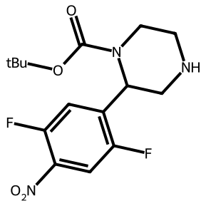 CC(C)(C)OC(=O)N1CCNCC1c1cc(F)c([N+](=O)[O-])cc1F